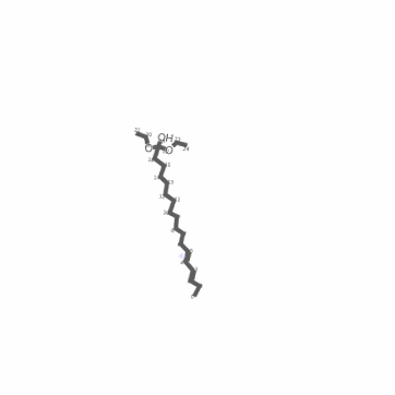 CCC=C/C=C/CCCCCCCCCCCC(O)(OCC)OCC